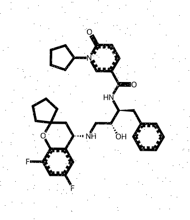 O=C(N[C@@H](Cc1ccccc1)[C@H](O)CN[C@H]1CC2(CCCC2)Oc2c(F)cc(F)cc21)c1ccc(=O)n(C2CCCC2)c1